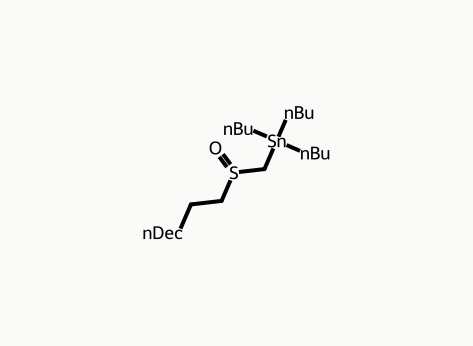 CCCCCCCCCCCCS(=O)[CH2][Sn]([CH2]CCC)([CH2]CCC)[CH2]CCC